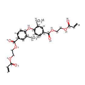 C=CC(=O)OCCOC(=O)c1ccc(Oc2ccc(C(=O)OCCOC(=O)C=C)cc2S(=O)(=O)O)c(S(=O)(=O)O)c1